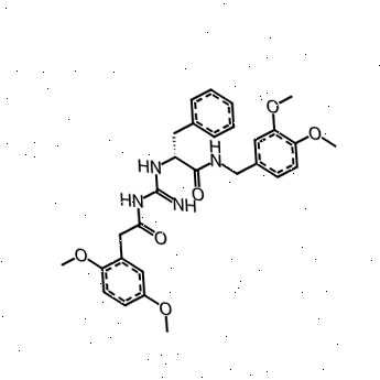 COc1ccc(OC)c(CC(=O)NC(=N)N[C@H](Cc2ccccc2)C(=O)NCc2ccc(OC)c(OC)c2)c1